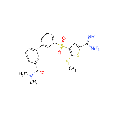 CSc1sc(C(=N)N)cc1S(=O)(=O)c1cccc(-c2cccc(C(=O)N(C)C)c2)c1